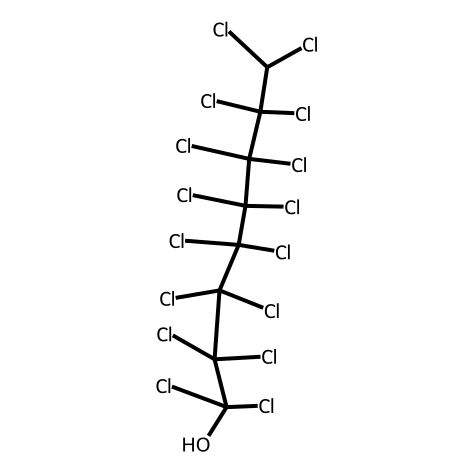 OC(Cl)(Cl)C(Cl)(Cl)C(Cl)(Cl)C(Cl)(Cl)C(Cl)(Cl)C(Cl)(Cl)C(Cl)(Cl)C(Cl)Cl